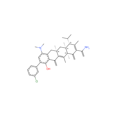 C=C(N)C1=C(C)[C@@H](C(C)C)[C@]2(C)C[C@]3(C)Cc4c(N(C)C)cc(-c5cccc(Cl)c5)c(O)c4C(=C)C3=C(C)[C@]2(C)C1=C